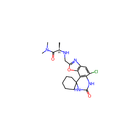 C[C@@H](NCc1nc2cc(Cl)c3c(c2o1)C1(CCCCC1)NC(=O)N3)C(=O)N(C)C